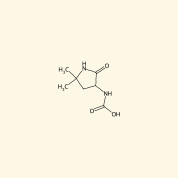 CC1(C)CC(NC(=O)O)C(=O)N1